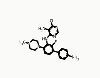 CN1CCN(c2ccc(-c3ccc(N)cc3)c(F)c2Nc2ncnc(Cl)c2N)CC1